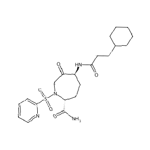 NC(=O)[C@H]1CC[C@H](NC(=O)[CH]CC2CCCCC2)C(=O)CN1S(=O)(=O)c1ccccn1